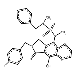 CN(Cc1ccccc1)S(=O)(=O)N(C)c1c2c(c(O)c3ncccc13)C(=O)N(Cc1ccc(F)cc1)C2